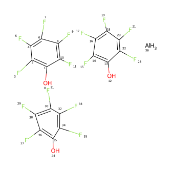 Oc1c(F)c(F)c(F)c(F)c1F.Oc1c(F)c(F)c(F)c(F)c1F.Oc1c(F)c(F)c(F)c(F)c1F.[AlH3]